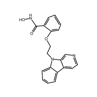 O=C(NO)c1ccccc1OCCn1c2ccccc2c2ccncc21